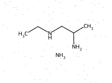 CCNCC(C)N.N